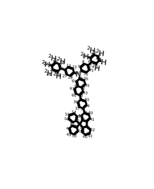 [2H]c1c([2H])c([2H])c(-c2ccc(N(c3ccc(-c4c([2H])c([2H])c([2H])c([2H])c4[2H])cc3)c3ccc4cc(-c5ccc(-c6ccc7c(c6)C(c6ccccc6)(c6ccccc6)c6ccccc6-7)cc5)ccc4c3)cc2)c([2H])c1[2H]